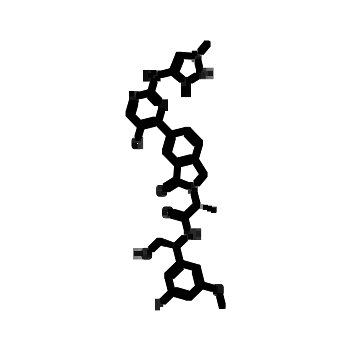 COc1cc(F)cc([C@@H](CO)NC(=O)[C@@H](C)N2Cc3ccc(-c4nc(NC5=CN(C)NN5)ncc4Cl)cc3C2=O)c1